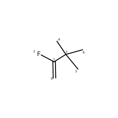 C=C(F)C(C)(C)C